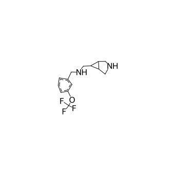 FC(F)(F)Oc1cccc(CNCC2C3CNCC23)c1